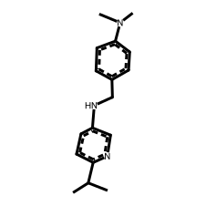 CC(C)c1ccc(NCc2ccc(N(C)C)cc2)cn1